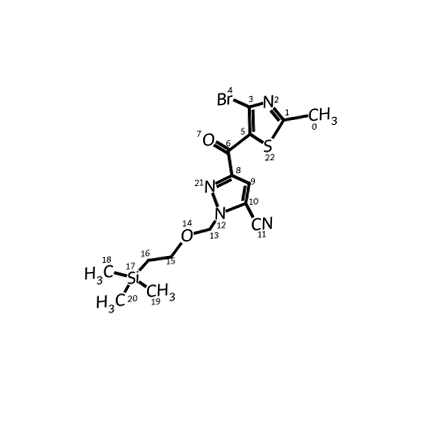 Cc1nc(Br)c(C(=O)c2cc(C#N)n(COCC[Si](C)(C)C)n2)s1